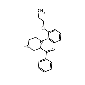 CCCOc1ccccc1N1CCNCC1C(=O)c1ccccc1